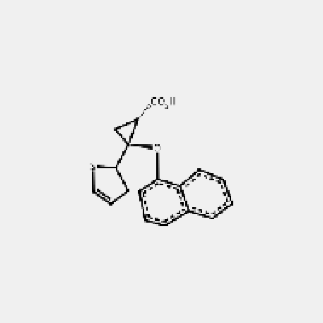 O=C(O)[C@H]1C[C@@]1(Oc1cccc2ccccc12)C1CC=CS1